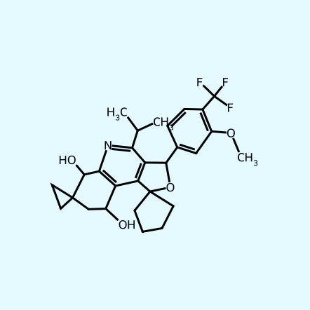 COc1cc(C2OC3(CCCC3)c3c4c(nc(C(C)C)c32)C(O)C2(CC2)CC4O)ccc1C(F)(F)F